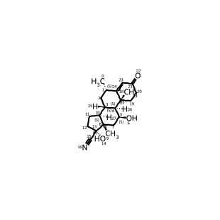 C[C@H]1C[C@@H]2[C@H]([C@@H](O)C[C@@]3(C)[C@H]2CC[C@]3(O)C#N)[C@@]2(C)CCC(=O)C=C12